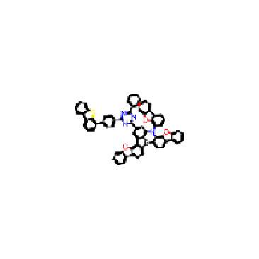 c1ccc(-c2nc(-c3ccc(-c4cccc5c4sc4ccccc45)cc3)nc(-c3cc4c5c(c3)N(c3cccc6c3oc3ccccc36)c3c(ccc6c3oc3ccccc36)B5c3ccc5c(oc6ccccc65)c3-4)n2)cc1